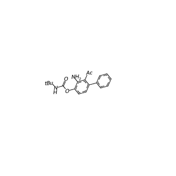 CC(=O)c1c(-c2ccccc2)ccc(OC(=O)NC(C)(C)C)c1N